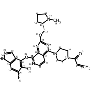 C=CC(=O)N1CCN(c2nc(OC[C@@H]3CCCN3C)nc3c(Oc4c(Cl)c(F)cc5[nH]ncc45)nccc23)CC1